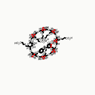 O=C(O)CCSC[C@H]1O[C@@H]2O[C@H]3[C@@H](O)[C@@H](O)[C@@H](O[C@H]4[C@@H](O)[C@@H](O)[C@@H](O[C@H]5[C@@H](O)[C@@H](O)[C@@H](O[C@H]6[C@@H](O)[C@@H](O)[C@@H](O[C@H]7[C@@H](O)[C@@H](O)[C@@H](O[C@H]8[C@@H](O)[C@@H](O)[C@@H](O[C@H]9[C@@H](O)[C@@H](O)[C@@H](O[C@H]1[C@@H](O)[C@H]2O)O[C@@H]9COCP(=O)(c1ccccc1)c1ccccc1)O[C@@H]8CSCCC(=O)O)O[C@@H]7CSCCC(=O)O)O[C@@H]6CSCCC(=O)O)O[C@@H]5CSCCC(=O)O)O[C@@H]4CSCCC(=O)O)O[C@@H]3CSCCC(=O)O